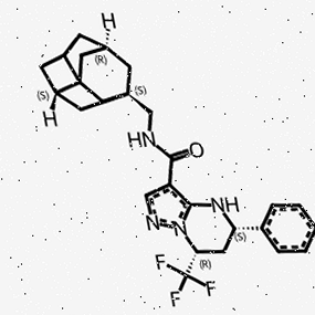 O=C(NC[C@@]12C[C@@H]3CC4C[C@@H](C1)C4(C3)C2)c1cnn2c1N[C@H](c1ccccc1)C[C@@H]2C(F)(F)F